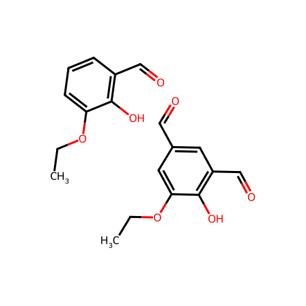 CCOc1cc(C=O)cc(C=O)c1O.CCOc1cccc(C=O)c1O